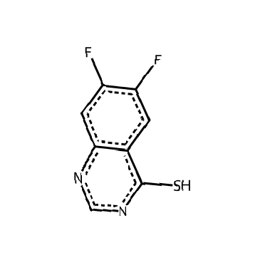 Fc1cc2ncnc(S)c2cc1F